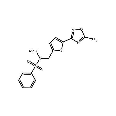 CON(Cc1ccc(-c2noc(C(F)(F)F)n2)s1)S(=O)(=O)c1ccccc1